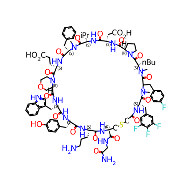 CCCC[C@H]1C(=O)N2CCC[C@@H]2C(=O)N[C@@H](CC(=O)O)C(=O)N[C@@H](C(C)C)C(=O)N(C)[C@@H](Cc2ccccc2)C(=O)N[C@@H](CCC(=O)O)C(=O)N2CCOC[C@@H]2C(=O)N[C@@H](Cc2c[nH]c3ccccc23)C(=O)N[C@@H](Cc2ccc(O)cc2)C(=O)N[C@@H](CCCN)C(=O)N[C@H](C(=O)NCC(N)=O)CSCC(=O)N[C@@H](Cc2cc(F)c(F)c(F)c2)C(=O)N(C)C(Cc2ccc(F)cc2)C(=O)N1C